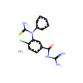 Cl.N=C(N)NC(=O)c1ccc(Cl)c(N(C(N)=S)c2ccccc2)c1